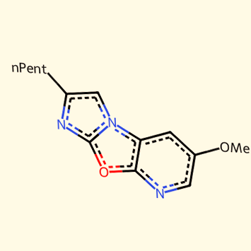 CCCCCc1cn2c(n1)oc1ncc(OC)cc12